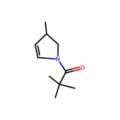 CC1C=CN(C(=O)C(C)(C)C)C1